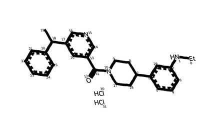 CCNc1cccc(C2CCN(C(=O)c3cncc(C(C)c4ccccc4)c3)CC2)c1.Cl.Cl